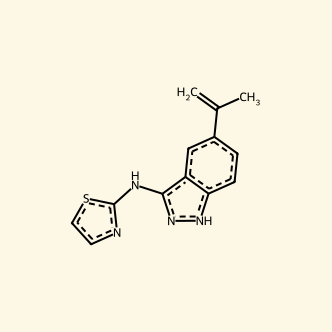 C=C(C)c1ccc2[nH]nc(Nc3nccs3)c2c1